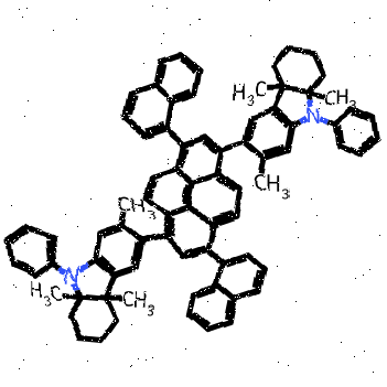 Cc1cc2c(cc1-c1cc(-c3cccc4ccccc34)c3ccc4c(-c5cc6c(cc5C)N(c5ccccc5)C5(C)CCCCC65C)cc(-c5cccc6ccccc56)c5ccc1c3c45)C1(C)CCCCC1(C)N2c1ccccc1